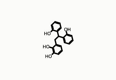 Oc1ccccc1C(Cc1cccc(O)c1O)c1ccccc1O